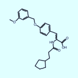 COc1cccc(COc2ccc(C=C(NC(=O)CCC3CCCC3)C(=O)O)cc2)c1